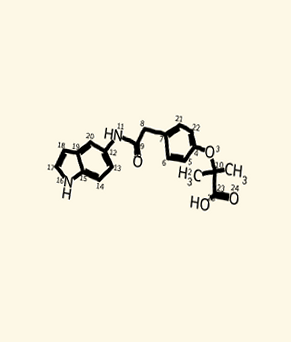 CC(C)(Oc1ccc(CC(=O)Nc2ccc3[nH]ccc3c2)cc1)C(=O)O